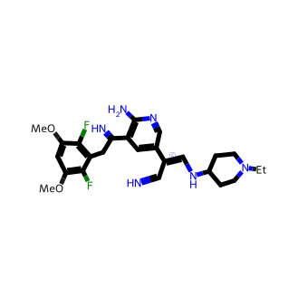 CCN1CCC(N/C=C(\C=N)c2cnc(N)c(C(=N)Cc3c(F)c(OC)cc(OC)c3F)c2)CC1